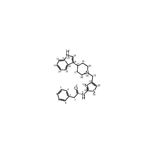 O=C(Cc1ccccc1)Nc1nc(CN2CCC(c3c[nH]c4ccccc34)CC2)cs1